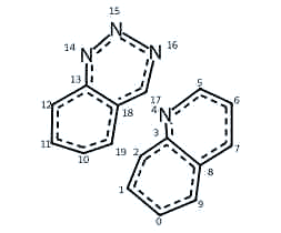 c1ccc2ncccc2c1.c1ccc2nnncc2c1